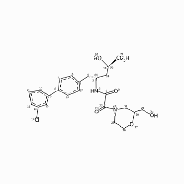 O=C(N[C@H](Cc1ccc(-c2cccc(Cl)c2)cc1)C[C@@H](O)C(=O)O)C(=O)N1CCOC(CO)C1